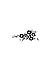 COc1ccc(S(=O)(=O)N2C(=O)C(c3cc(C)ccc3OC)(N3C[C@@H](F)C[C@H]3C=O)c3cc(Cl)ccc32)c(OC(F)(F)F)c1